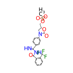 CS(=O)(=O)OCC1CN(c2ccc(C(=N)NC(=O)c3ccccc3C(F)(F)F)cc2)C(=O)O1